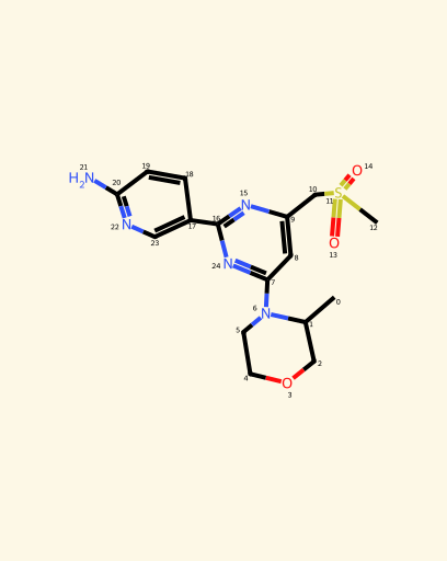 CC1COCCN1c1cc(CS(C)(=O)=O)nc(-c2ccc(N)nc2)n1